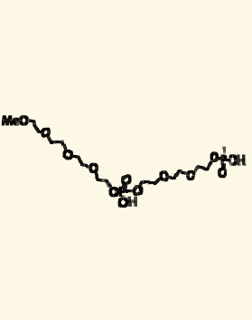 COCCOCCOCCOCCOP(=O)(O)OCCOCCOCCOP(C)(=O)O